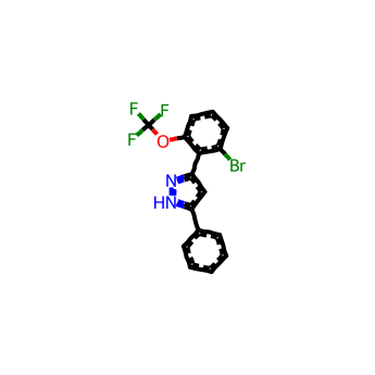 FC(F)(F)Oc1cccc(Br)c1-c1cc(-c2ccccc2)[nH]n1